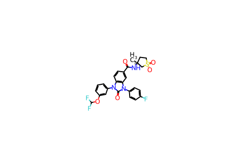 C[C@@]1(NC(=O)c2ccc3c(c2)n(-c2ccc(F)cc2)c(=O)n3-c2cccc(OC(F)F)c2)CCS(=O)(=O)C1